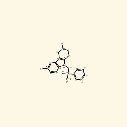 CN1CCc2c(c3cc(Cl)ccc3n2C[C@](C)(O)c2cncnc2)C1